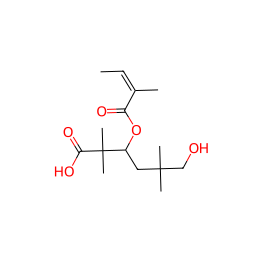 CC=C(C)C(=O)OC(CC(C)(C)CO)C(C)(C)C(=O)O